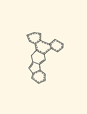 C1=C2Cc3c(c4ccccc4c4ccccc34)C=C2c2ccccc21